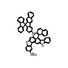 CC(C)(C)c1ccc2sc3c(c2c1)=C=C=C(N(c1ccc2c(c1)-c1cc4ccccc4cc1C21c2ccccc2-c2ccccc21)c1ccc2ccccc2c1C1=c2c(sc4ccccc24)=CCC1)C=3